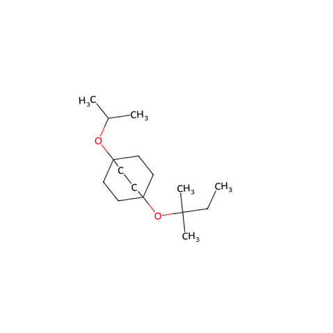 CCC(C)(C)OC12CCC(OC(C)C)(CC1)CC2